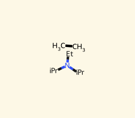 CC.CCN(C(C)C)C(C)C